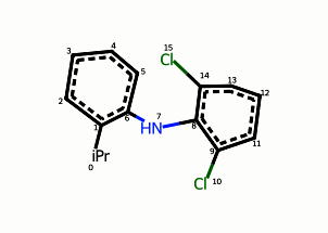 CC(C)c1ccccc1Nc1c(Cl)cccc1Cl